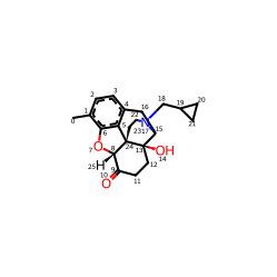 Cc1ccc2c3c1O[C@H]1C(=O)CC[C@@]4(O)C(C2)N(CC2CC2)CC[C@]314